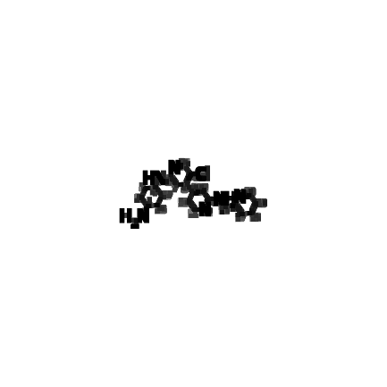 N[C@H]1CC[C@H](Nc2cc(-c3ccnc(NCc4ccccn4)c3)c(Cl)cn2)CC1